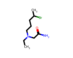 CCN(CCCC(C)Br)CC(N)=O